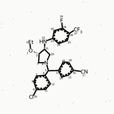 CCO[C@H]1CN(C(c2ccc(Cl)cc2)c2ccc(C#N)cc2)C[C@@H]1Nc1ccc(C(F)(F)F)c(F)c1